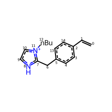 C=Cc1ccc(Cc2[nH]cc[n+]2CCCC)cc1